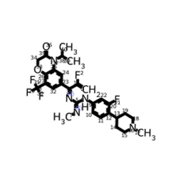 C=C(F)/C(=N\C(=N/C)Nc1ccc(C2CCN(C)CC2)c(F)c1)c1cc2c(c(C(F)(F)F)c1)OCC(=O)N2C(C)C